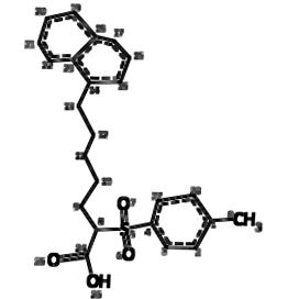 Cc1ccc(S(=O)(=O)C(CCCCCc2cccc3ccccc23)C(=O)O)cc1